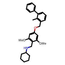 COc1cc(OCc2cccc(-c3ccccc3)c2C)cc(OC)c1CNC1CCCCC1